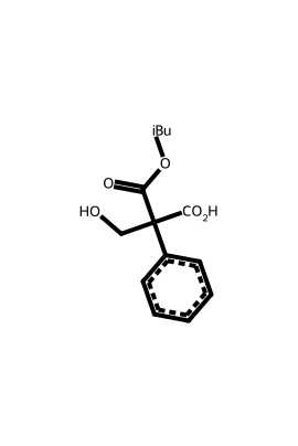 CCC(C)OC(=O)C(CO)(C(=O)O)c1ccccc1